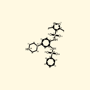 Cc1noc(C)c1S(=O)(=O)Nc1ccc(N2CCNCC2)cc1NS(=O)(=O)c1ccccc1